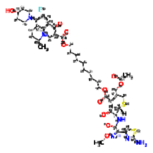 CO/N=C(\C(=O)NC1C(=O)C2C(C(=O)OCCCCCCCCCCOC(=O)c3cn4c5c(c(N6CCC(O)CC6)c(F)cc5c3=O)CCC4C)=C(COC(C)=O)CS[C@H]12)c1csc(N)n1